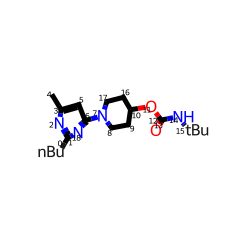 CCCCc1nc(C)cc(N2CCC(OC(=O)NC(C)(C)C)CC2)n1